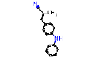 C/C(C#N)=C\c1ccc(Nc2ccccc2)cc1